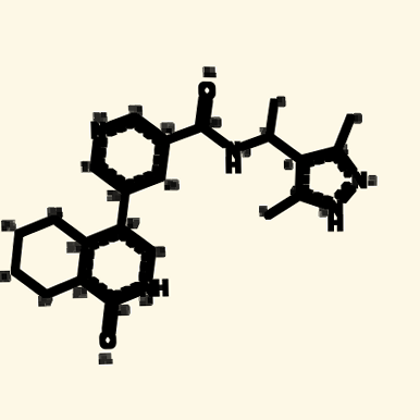 Cc1n[nH]c(C)c1C(C)NC(=O)c1cncc(-c2c[nH]c(=O)c3c2CCCC3)c1